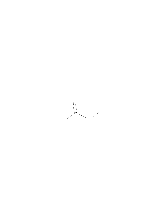 CC(=O)OOC(=O)C(C)(C)C